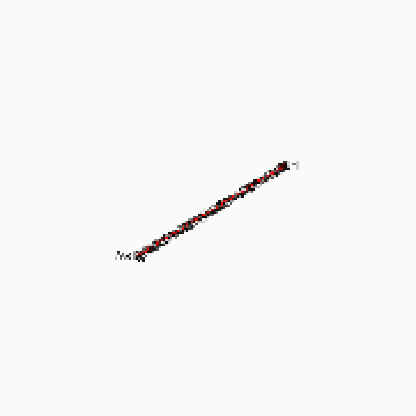 COS(=S)(=S)SSSSSSSSSSSSSSSSSSSSSSSSSSSSSSSSSSSSSSSSSSSSSSSSSSSSSSSSSSSSSSSSSSSSSS